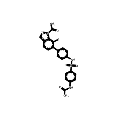 CC(=O)Nc1ccc(S(=O)(=O)Nc2ccc(-c3ccc4[c]nn(C(N)=O)c4c3F)cc2)cc1